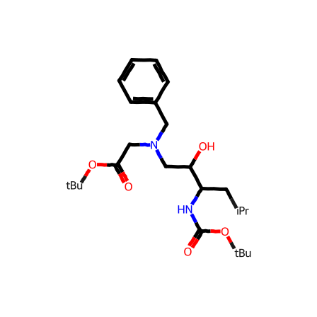 CC(C)CC(NC(=O)OC(C)(C)C)C(O)CN(CC(=O)OC(C)(C)C)Cc1ccccc1